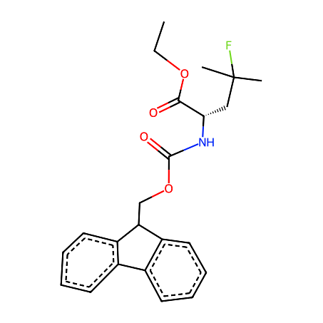 CCOC(=O)[C@H](CC(C)(C)F)NC(=O)OCC1c2ccccc2-c2ccccc21